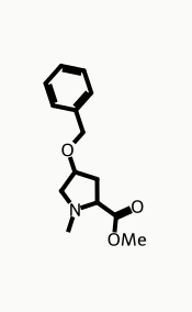 COC(=O)C1CC(OCc2ccccc2)CN1C